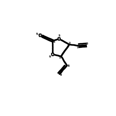 C#CC1OC(=O)OC1C=C